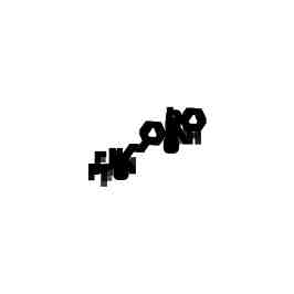 COc1ccccc1NS(=O)(=O)c1cccc(C=Cc2noc(C(F)(F)F)n2)c1